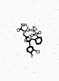 NC(=O)N(O)Cc1nc(-c2ccc(F)c(Cl)c2)c(-c2ccccc2S(N)(=O)=O)o1